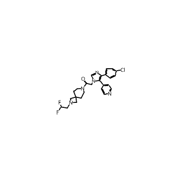 O=C(Cn1cnc(-c2ccc(Cl)cc2)c1-c1ccncc1)N1CCC2(CC1)CN(CC(F)F)C2